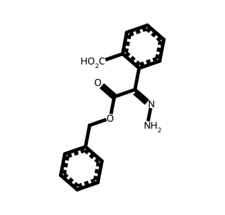 NN=C(C(=O)OCc1ccccc1)c1ccccc1C(=O)O